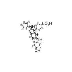 O=C(O)[C@H]1CC[C@@H](n2c(Nc3ccccc3F)nc3cnc(N[C@H]4CC[C@H](O)CC4)nc32)CC1